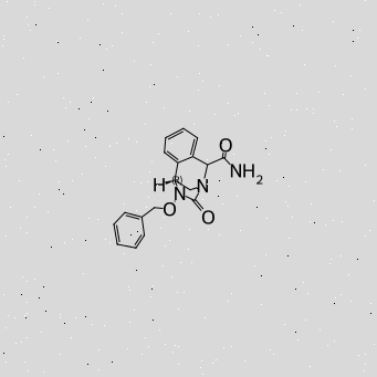 NC(=O)C1c2ccccc2[C@@H]2CN1C(=O)N2OCc1ccccc1